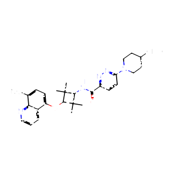 CC1(C)C(NC(=O)c2ccc(N3CCC(C=O)CC3)nn2)C(C)(C)C1Oc1ccc(C#N)c2ncccc12